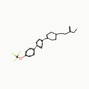 C=C(CC)CCC1CCC(c2ccc(-c3ccc(OC(F)(F)F)cc3)cc2)CC1